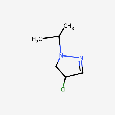 CC(C)N1CC(Cl)C=N1